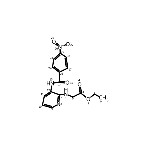 CCOC(=O)CNc1ncccc1NC(=O)c1ccc([N+](=O)[O-])cc1